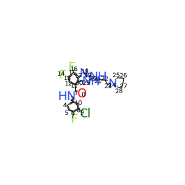 O=C(Nc1ccc(F)c(Cl)c1)c1cc(F)c(F)c2nc(NCCCN3CCCC3)[nH]c12